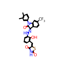 Cc1ccc(N2C(=O)C(=NNc3cccc(C=C4SC(=O)NC4=O)c3O)c3ccc(C(F)(F)F)cc32)cc1C